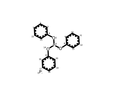 [P].c1ccc(OP(Oc2ccccc2)Oc2ccccc2)cc1